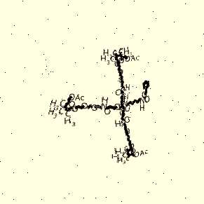 CC(=O)OCC1OC(OCCCCCOCCNC(=O)CCOCC(COCCC(=O)NCCOCCOCCOC2OC(COC(C)=O)C(C)C(C)C2C)(COCCC(=O)NCCOCCOCCOC2OC(COC(C)=O)C(C)C(C)C2C)NC(=O)CCCCCNC(=O)OCc2ccccc2)C(C)C(C)C1C